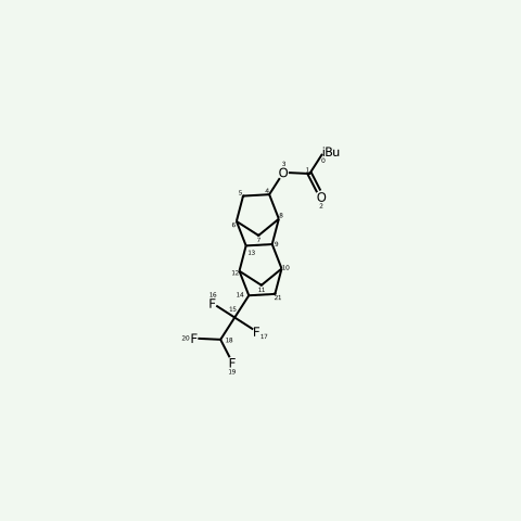 CCC(C)C(=O)OC1CC2CC1C1C3CC(C21)C(C(F)(F)C(F)F)C3